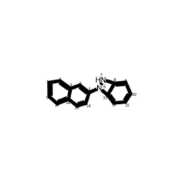 c1ccc2cc(-n3[nH]c4ccccc43)ccc2c1